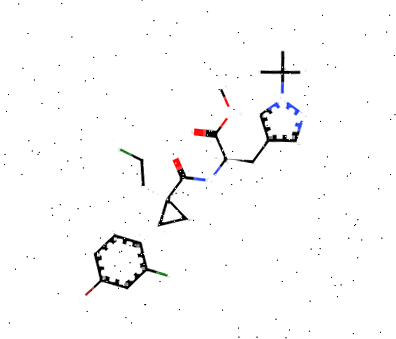 [2H]C([2H])([2H])n1cc(C[C@@H](NC(=O)[C@@]2(CCCl)C[C@@H]2c2ccc(Br)cc2Cl)C(=O)OC)cn1